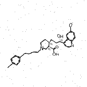 COc1ccc2nccc([C@@H](O)CC[C@@H]3CCN(CCCCc4ccc(C)cc4)C[C@@H]3C(=O)O)c2c1